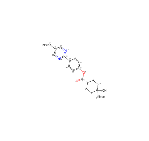 CCCCCCCCC[C@]1(C#N)CC[C@H](C(=O)Oc2ccc(-c3ncc(CCCCC)cn3)cc2)CC1